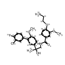 COc1cc(C(=O)NCC(C)(O)c2ccc(OC)c(-c3ccc(F)c(Cl)c3)n2)ccc1OCCN